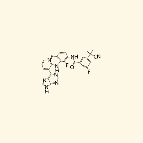 CC(C)(C#N)c1cc(F)cc(C(=O)Nc2ccc(F)c(Nc3ncccc3-c3ncnc4[nH]cnc34)c2F)c1